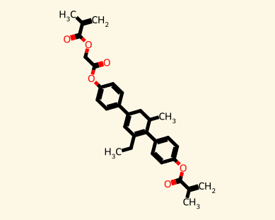 C=C(C)C(=O)OCC(=O)Oc1ccc(C2=CC(CC)=C(c3ccc(OC(=O)C(=C)C)cc3)C(C)C2)cc1